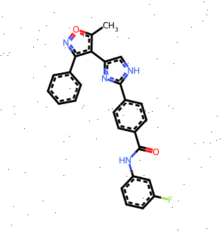 Cc1onc(-c2ccccc2)c1-c1c[nH]c(-c2ccc(C(=O)Nc3cccc(F)c3)cc2)n1